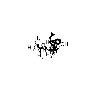 CC[C@H](C)[C@H](N)C(=O)N=NC[C@H]1C[C@@]23CC[C@]1(OC)[C@@H]1Oc4c(O)ccc5c4[C@@]12CCN(CC1CC1)[C@@H]3C5